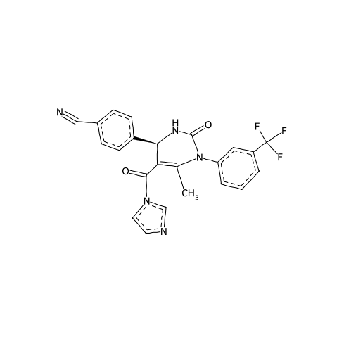 CC1=C(C(=O)n2ccnc2)[C@@H](c2ccc(C#N)cc2)NC(=O)N1c1cccc(C(F)(F)F)c1